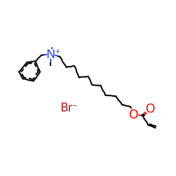 C=CC(=O)OCCCCCCCCCCC[N+](C)(C)Cc1ccccc1.[Br-]